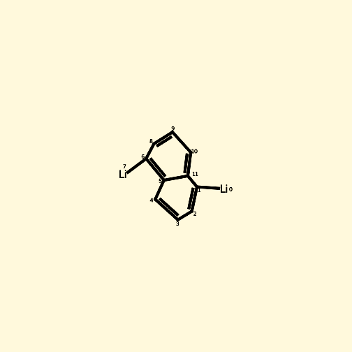 [Li][c]1cccc2[c]([Li])cccc12